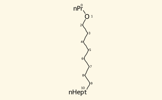 [CH2]CCOCCCCCCCCCCCCCCC